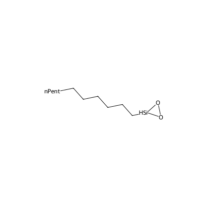 CCCCCCCCCCC[SiH]1OO1